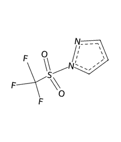 O=S(=O)(n1cccn1)C(F)(F)F